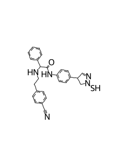 N#Cc1ccc(CCNC(C(=O)Nc2ccc(C3C=NN(S)C3)cc2)c2ccccc2)cc1